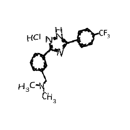 CN(C)Cc1cccc(-c2n[nH]c(-c3ccc(C(F)(F)F)cc3)n2)c1.Cl